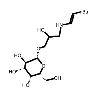 CCCCC=CNCC(O)CO[C@@H]1O[C@H](CO)[C@H](O)[C@H](O)[C@H]1O